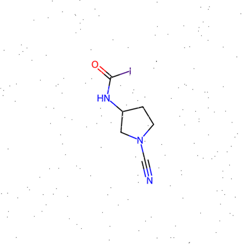 N#CN1CCC(NC(=O)I)C1